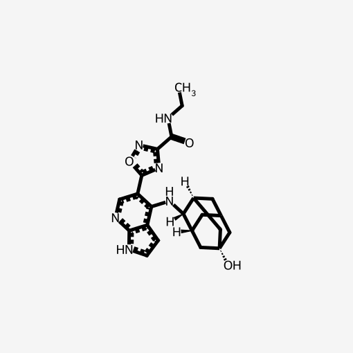 CCNC(=O)c1noc(-c2cnc3[nH]ccc3c2N[C@H]2[C@@H]3CC4C[C@H]2C[C@@](O)(C4)C3)n1